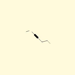 [CH2]COC#CCCF